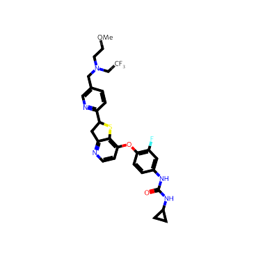 COCCN(Cc1ccc(C2Cc3nccc(Oc4ccc(NC(=O)NC5CC5)cc4F)c3S2)nc1)CC(F)(F)F